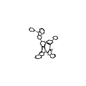 c1ccc(-c2cccc(-c3nc4ccccc4nc3-n3c4ccc(-c5ccc6c(c5)c5ccccc5n6-c5ccccc5)cc4c4cc5ccccc5cc43)c2)cc1